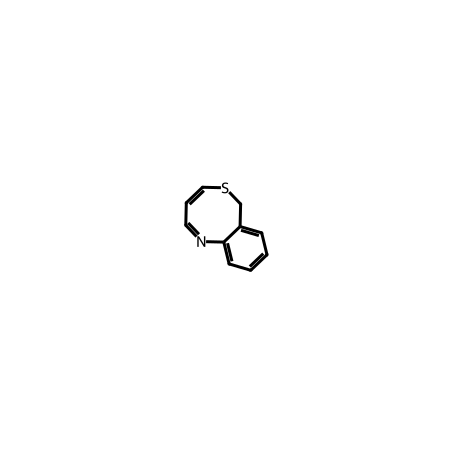 C1=C\SCc2ccccc2\N=C/1